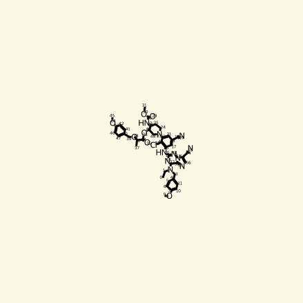 CCN(Cc1ccc(OC)cc1)c1nc(Nc2cc(C#N)cc(N3CC[C@@H](NC(=O)OC)[C@H](OC(=O)C(C)OCc4ccc(OC)cc4)C3)c2Cl)nn2c(C#N)cnc12